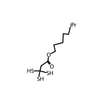 CC(C)CCCCCOC(=O)CC(S)(S)S